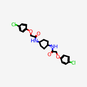 O=C(COc1ccc(Cl)cc1)NC1CCC(NC(=O)COc2ccc(Cl)cc2)CC1